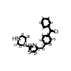 O=C(c1ccccc1)c1ccc(Cc2csc(N3CCNCC3)n2)cc1